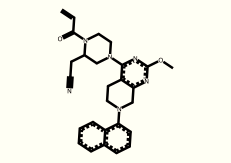 C=CC(=O)N1CCN(c2nc(OC)nc3c2CCN(c2cccc4ccccc24)C3)CC1CC#N